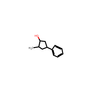 CC1CC(c2ccccc2)CC1O